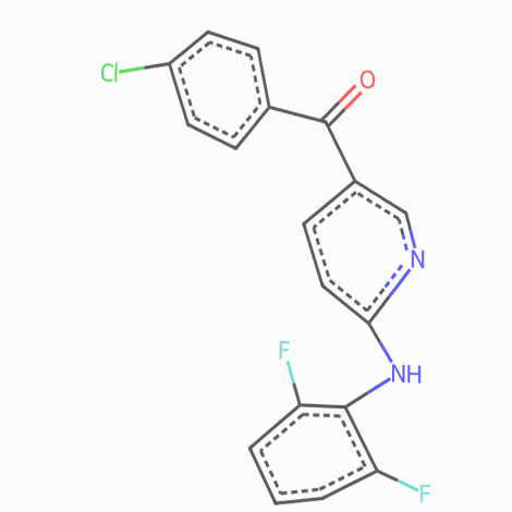 O=C(c1ccc(Cl)cc1)c1ccc(Nc2c(F)cccc2F)nc1